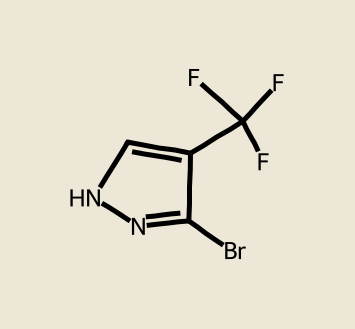 FC(F)(F)c1c[nH]nc1Br